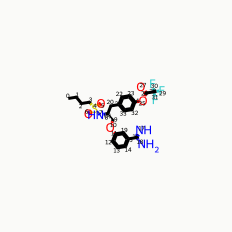 CCCCS(=O)(=O)N[C@H](COc1cccc(C(=N)N)c1)Cc1ccc(OC(=O)C(F)(F)F)cc1